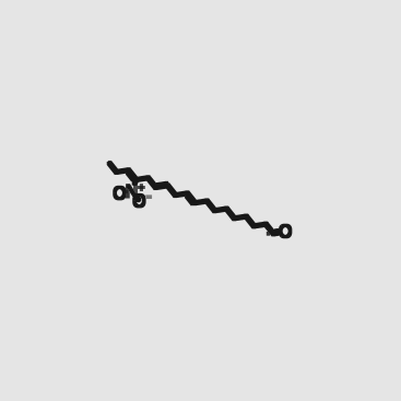 CC/C=C(/C/C=C/C/C=C/CCCCCCC[C]=O)[N+](=O)[O-]